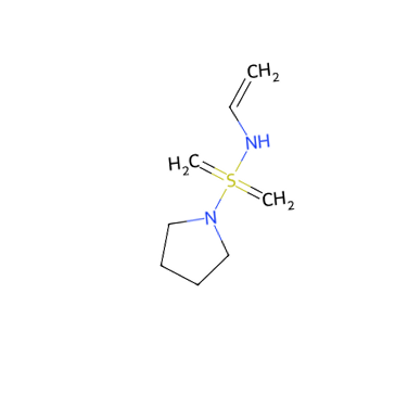 C=CNS(=C)(=C)N1CCCC1